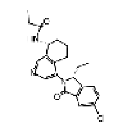 CCC(=O)N[C@@H]1CCCc2c1cncc2N1C(=O)c2cc(Cl)ccc2[C@H]1CC